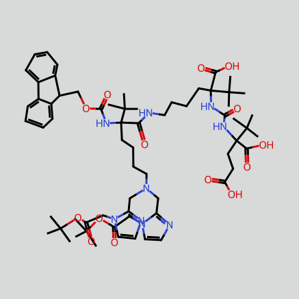 CC(C)(C)OC(=O)Cn1ccnc1CN(CCCCC(NC(=O)OCC1c2ccccc2-c2ccccc21)(C(=O)NCCCCC(NC(=O)NC(CCC(=O)O)(C(=O)O)C(C)(C)C)(C(=O)O)C(C)(C)C)C(C)(C)C)Cc1nccn1CC(=O)OC(C)(C)C